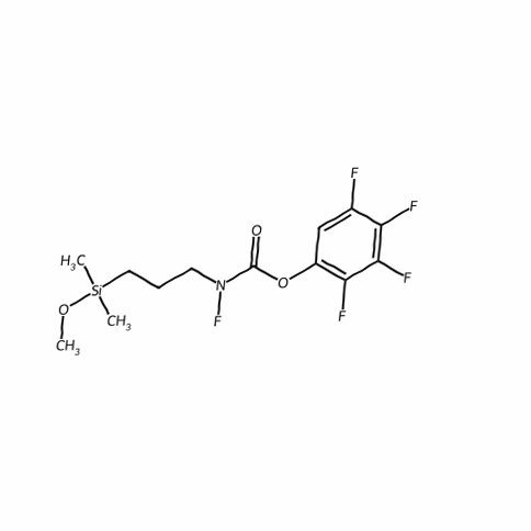 CO[Si](C)(C)CCCN(F)C(=O)Oc1cc(F)c(F)c(F)c1F